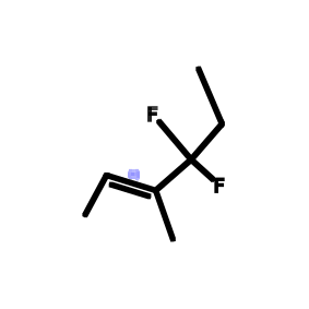 C/C=C(\C)C(F)(F)CC